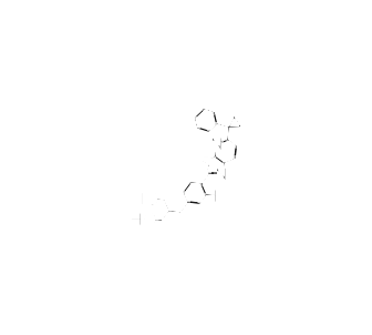 OCC(CO)Cc1ccc(-c2nc3ccc(C4(c5ccccc5)CC4)nc3s2)c(F)c1